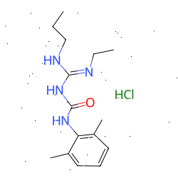 CCCNC(=NCC)NC(=O)Nc1c(C)cccc1C.Cl